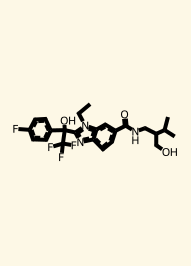 CCn1c(C(O)(c2ccc(F)cc2)C(F)(F)F)nc2ccc(C(=O)NCC(CO)C(C)C)cc21